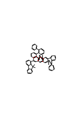 CC1(C)c2ccccc2-c2cccc(-c3ccc(N(c4ccc5c(c4)c4ccccc4n5-c4ccccc4)c4cccc(-c5ccccc5)c4-c4ccccc4-c4ccccc4)cc3)c21